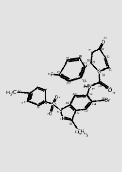 Cc1ccc(S(=O)(=O)n2nc(C)c3cc(Br)c(NC(=O)N4C=CC(=O)C[C@H]4c4ccc(F)cc4)cc32)cc1